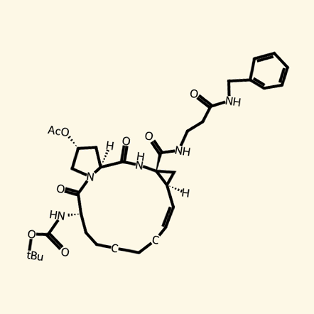 CC(=O)O[C@@H]1C[C@H]2C(=O)N[C@]3(C(=O)NCCC(=O)NCc4ccccc4)C[C@H]3/C=C\CCCCC[C@H](NC(=O)OC(C)(C)C)C(=O)N2C1